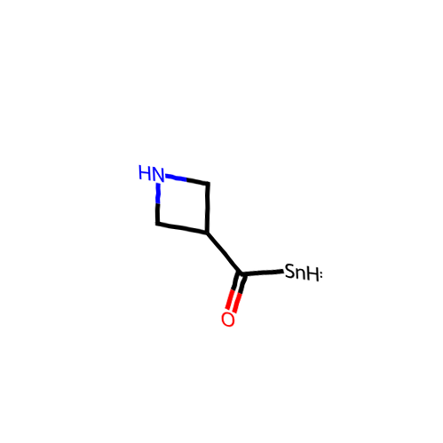 O=[C]([SnH])C1CNC1